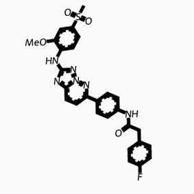 COc1cc(S(C)(=O)=O)ccc1Nc1nc2ccc(-c3ccc(NC(=O)Cc4ccc(F)cc4)cc3)nn2n1